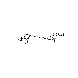 CCOC(=O)OC1(CCCCCCCCc2ccc(Cl)c(Cl)c2)CO1